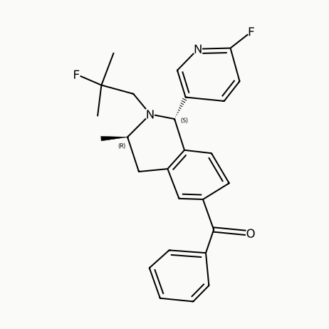 C[C@@H]1Cc2cc(C(=O)c3ccccc3)ccc2[C@@H](c2ccc(F)nc2)N1CC(C)(C)F